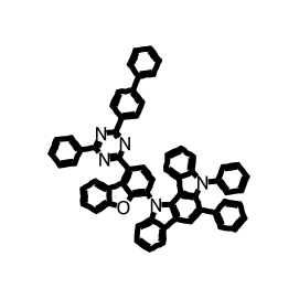 c1ccc(-c2ccc(-c3nc(-c4ccccc4)nc(-c4ccc(-n5c6ccccc6c6cc(-c7ccccc7)c7c(c8ccccc8n7-c7ccccc7)c65)c5oc6ccccc6c45)n3)cc2)cc1